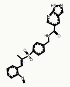 C=Nc1ccccc1/C=C(\C)S(=O)(=O)c1ccc(CNC(=O)c2cnc3[nH]ncc3c2)cc1